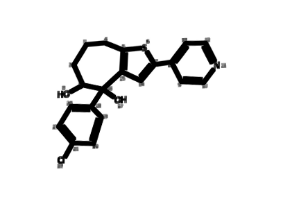 OC1CCCc2sc(-c3ccncc3)cc2C1(O)c1ccc(Cl)cc1